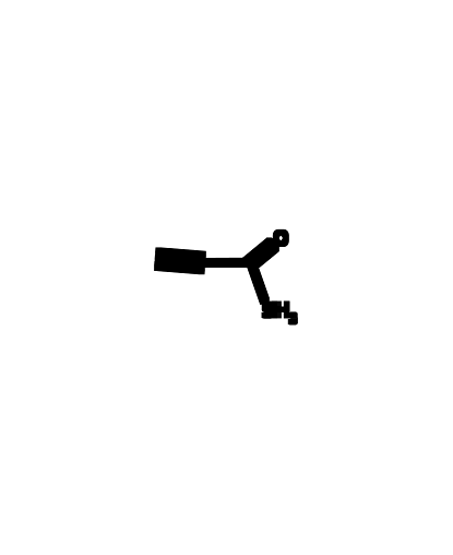 C#CC(=O)[SiH3]